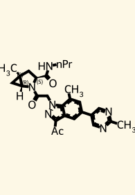 CCCNC(=O)[C@@H]1C[C@@]2(C)C[C@H]2N1C(=O)Cn1nc(C(C)=O)c2cc(-c3cnc(C)nc3)cc(C)c21